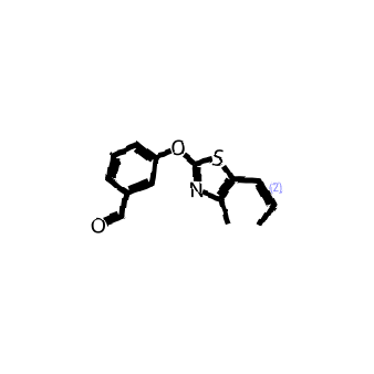 C/C=C\c1sc(Oc2cccc(C=O)c2)nc1C